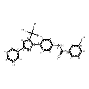 O=C(Nc1ccc(-n2nc(-c3cccnc3)cc2C(F)(F)F)nc1)c1cccc(F)c1